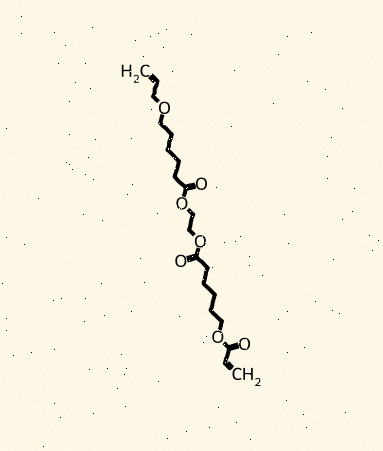 C=CCOCCCCCC(=O)OCCOC(=O)CCCCCOC(=O)C=C